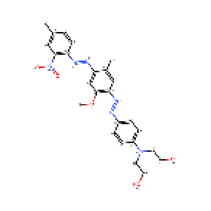 COc1cc(/N=N/c2ccc(C)cc2[N+](=O)[O-])c(C)cc1/N=N/c1ccc(N(CCO)CCO)cc1